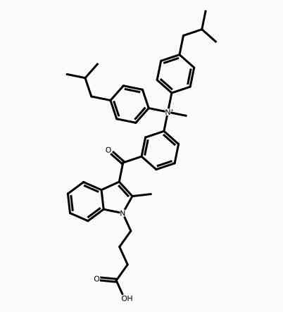 Cc1c(C(=O)c2cccc([N+](C)(c3ccc(CC(C)C)cc3)c3ccc(CC(C)C)cc3)c2)c2ccccc2n1CCCC(=O)O